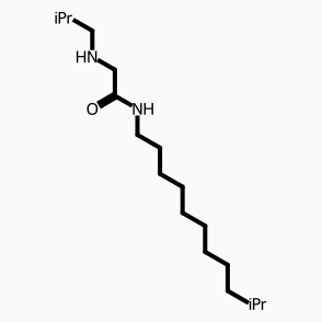 CC(C)CCCCCCCCCNC(=O)CNCC(C)C